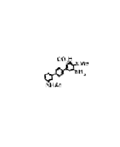 CNc1c(N)cc(-c2ccc(-c3cccc(NC(C)=O)c3)cc2)cc1C(=O)O